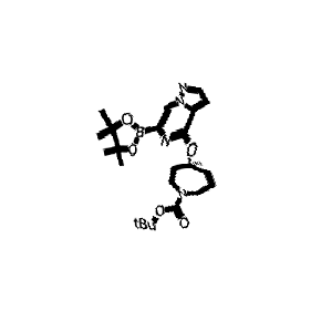 CC(C)(C)OC(=O)N1CCC[C@@H](Oc2nc(B3OC(C)(C)C(C)(C)O3)cn3nccc23)CC1